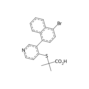 CC(C)(Sc1ccncc1-c1ccc(Br)c2ccccc12)C(=O)O